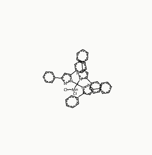 [Cl][Mn]([Cl])[C](n1nc(-c2ccccc2)cc1-c1ccccc1)(n1nc(-c2ccccc2)cc1-c1ccccc1)n1nc(-c2ccccc2)cc1-c1ccccc1